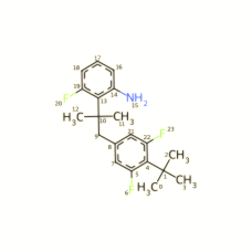 CC(C)(C)c1c(F)cc(CC(C)(C)c2c(N)cccc2F)cc1F